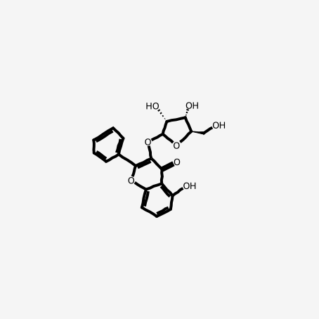 O=c1c(OC2O[C@H](CO)[C@@H](O)[C@H]2O)c(-c2ccccc2)oc2cccc(O)c12